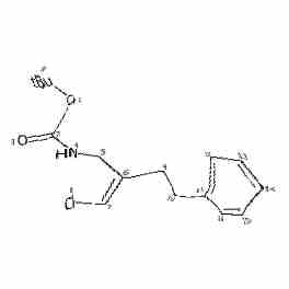 CC(C)(C)OC(=O)NCC(=CCl)CCc1ccccc1